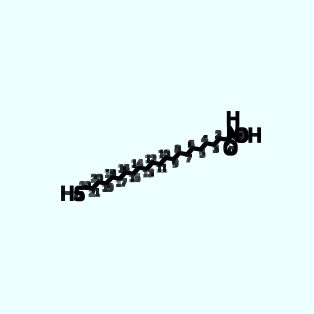 O=C(CCCCCCCCCCCCCCCCCCCCCS)NO